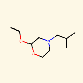 CCOC1CN(C[C](C)C)CCO1